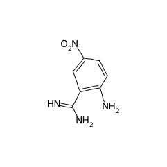 N=C(N)c1cc([N+](=O)[O-])ccc1N